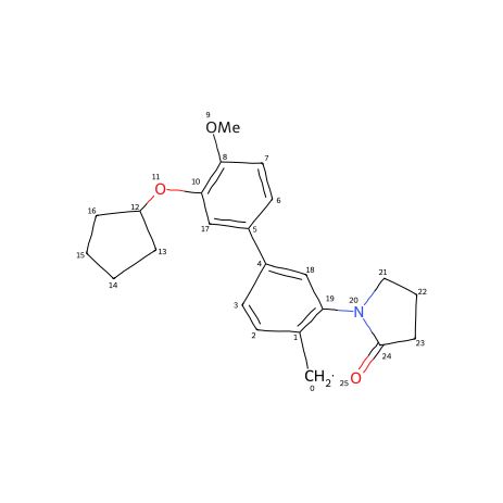 [CH2]c1ccc(-c2ccc(OC)c(OC3CCCC3)c2)cc1N1CCCC1=O